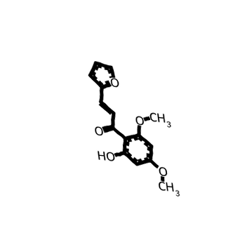 COc1cc(O)c(C(=O)C=Cc2ccco2)c(OC)c1